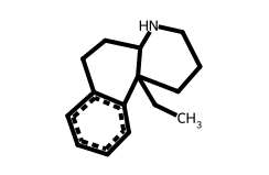 CCC12CCCNC1CCc1ccccc12